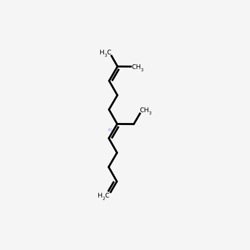 C=CCC/C=C(\CC)CCC=C(C)C